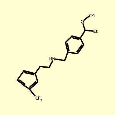 CCCOC(CC)c1ccc(CNCCc2cccc(C(F)(F)F)c2)cc1